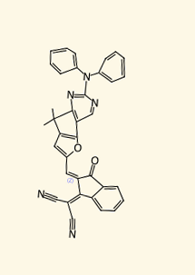 CC1(C)c2cc(/C=C3\C(=O)c4ccccc4C3=C(C#N)C#N)oc2-c2cnc(N(c3ccccc3)c3ccccc3)nc21